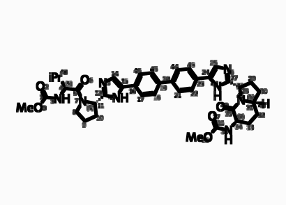 COC(=O)N[C@H](C(=O)N1CCC[C@H]1c1ncc(-c2ccc(-c3ccc(-c4cnc([C@@H]5CC[C@@H]6CC[C@@H](NC(=O)OC)C(=O)N65)[nH]4)cc3)cc2)[nH]1)C(C)C